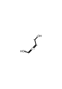 OC=C=CCO